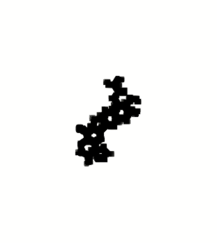 C=C1OCc2c(cc3n(c2=O)Cc2cc4c(CNC(C)C)c(OC)c(F)cc4nc2-3)[C@@]1(O)CC